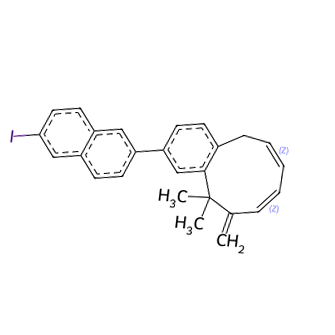 C=C1/C=C\C=C/Cc2ccc(-c3ccc4cc(I)ccc4c3)cc2C1(C)C